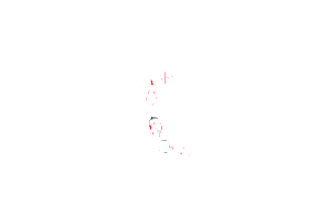 C=C(C)COc1cccc(C23CCC(CCOCC(=O)O)(CC2)CO3)c1